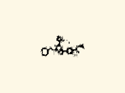 Cc1cc(-c2cnn3c(NCC4CCCOCC4)cc(-c4ccnn4C)nc23)ccc1C(=O)NC1CC1